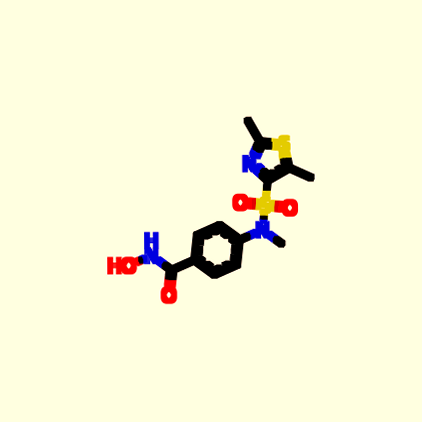 Cc1nc(S(=O)(=O)N(C)c2ccc(C(=O)NO)cc2)c(C)s1